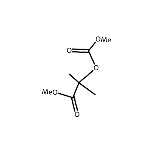 COC(=O)OC(C)(C)C(=O)OC